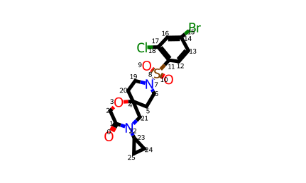 O=C1COC2(CCN(S(=O)(=O)c3ccc(Br)cc3Cl)CC2)CN1C1CC1